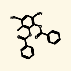 CCCc1cc(CCC)c(OC(=O)c2ccccc2)c(OC(=O)c2ccccc2)c1C